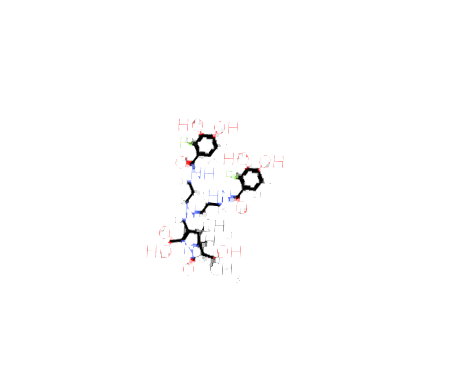 C[C@@H](O)[C@H]1C(=O)N2C(C(=O)O)=C(CN(CCCNC(=O)c3ccc(O)c(O)c3F)CCCNC(=O)c3ccc(O)c(O)c3F)[C@H](C)[C@H]12